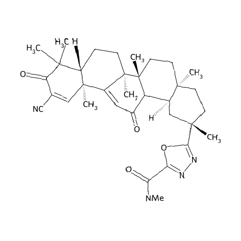 CNC(=O)c1nnc([C@@]2(C)CC[C@]3(C)CC[C@]4(C)C(C(=O)C=C5[C@@]6(C)C=C(C#N)C(=O)C(C)(C)[C@@H]6CC[C@]54C)[C@@H]3C2)o1